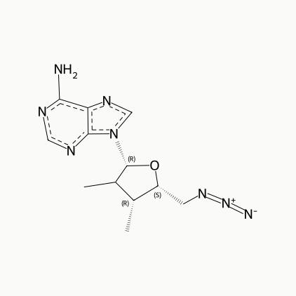 CC1[C@@H](C)[C@@H](CN=[N+]=[N-])O[C@H]1n1cnc2c(N)ncnc21